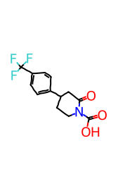 O=C(O)N1CCC(c2ccc(C(F)(F)F)cc2)CC1=O